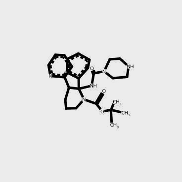 CC(C)(C)OC(=O)N1CCCC(c2ccccn2)C1(NC(=O)N1CCNCC1)c1ccccn1